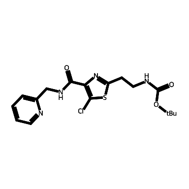 CC(C)(C)OC(=O)NCCc1nc(C(=O)NCc2ccccn2)c(Cl)s1